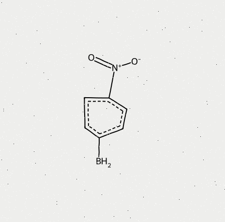 Bc1ccc([N+](=O)[O-])cc1